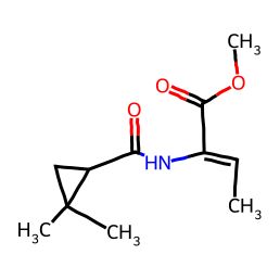 C/C=C(\NC(=O)C1CC1(C)C)C(=O)OC